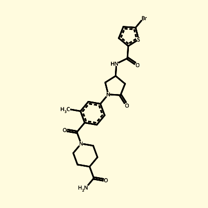 Cc1cc(N2CC(NC(=O)c3ccc(Br)s3)CC2=O)ccc1C(=O)N1CCC(C(N)=O)CC1